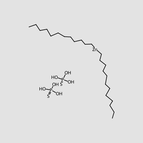 CCCCCCCCCCC[CH2][Zn][CH2]CCCCCCCCCCC.OP(O)(O)=S.OP(O)(O)=S